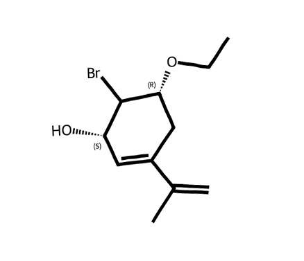 C=C(C)C1=C[C@H](O)C(Br)[C@H](OCC)C1